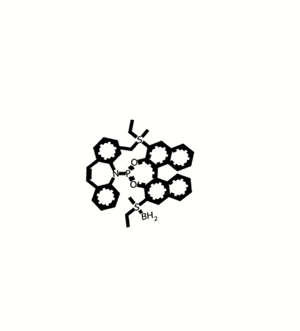 BS(C)(CC)c1cc2ccccc2c2c1op(N1c3ccccc3C=Cc3ccccc31)oc1c(S(C)(CC)CC)cc3ccccc3c12